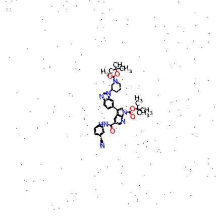 CC(C)(C)OC(=O)N1CCCC(n2cnc3ccc(-c4cn(C(=O)OC(C)(C)C)c5ncc(C(=O)Nc6cccc(C#N)c6)cc45)cc32)C1